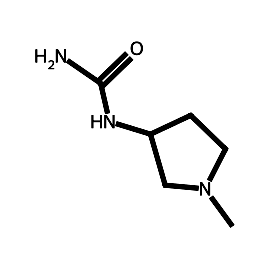 CN1CCC(NC(N)=O)C1